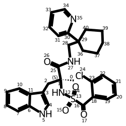 C[C@@](Cc1c[nH]c2ccccc12)(NS(=O)(=O)C(=O)c1ccccc1Cl)C(=O)NCC1(c2ccccn2)CCCCC1